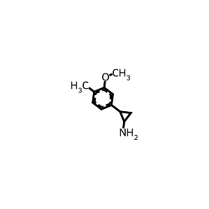 COc1cc(C2CC2N)ccc1C